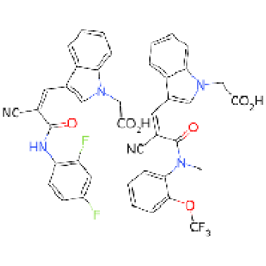 CN(C(=O)C(C#N)=Cc1cn(CC(=O)O)c2ccccc12)c1ccccc1OC(F)(F)F.N#CC(=Cc1cn(CC(=O)O)c2ccccc12)C(=O)Nc1ccc(F)cc1F